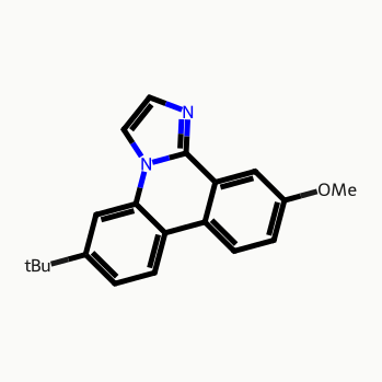 COc1ccc2c3ccc(C(C)(C)C)cc3n3ccnc3c2c1